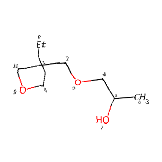 CCC1(COCC(C)O)COC1